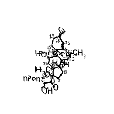 CCCCCO[C@]1(C(=O)CO)CC[C@H]2[C@@H]3CC(C)C4=CC(=O)CC[C@]4(C)[C@H]3C(O)C[C@@]21C